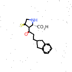 O=C(CCC1Cc2ccccc2C1)C1C(=S)CN[C@@H]1C(=O)O